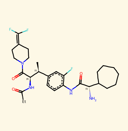 CCC(=O)N[C@@H](C(=O)N1CCC(=C(F)F)CC1)[C@@H](C)c1ccc(NC(=O)[C@@H](N)C2CCCCCC2)c(F)c1